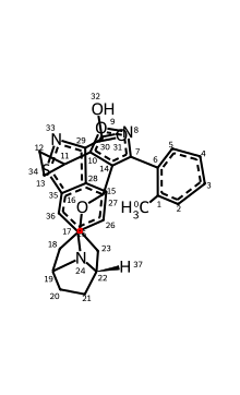 Cc1ccccc1-c1noc(C2CC2)c1COC1CC2CC[C@@H](C1)N2c1ccc2c(C(=O)O)nsc2c1